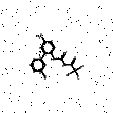 Cc1ccc(NC(=O)OC(=O)C(F)(F)F)c(-c2cccc(Cl)c2)c1